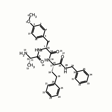 COc1ccc(C[C@H](NC(=O)[C@H](C)N)C(=O)N[C@@H](CCc2ccccc2)C(=O)NCc2ccccc2)cc1